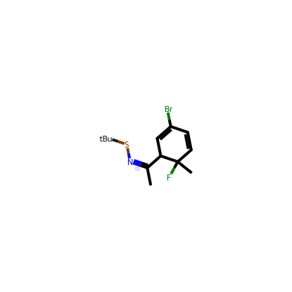 C/C(=N/SC(C)(C)C)C1C=C(Br)C=CC1(C)F